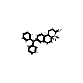 CN1C(=O)CC[C@]2(C)c3ccc(C(c4ccccc4)c4ccccc4)cc3CC[C@@H]12